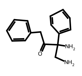 NCC(N)(C(=O)Cc1ccccc1)c1ccccc1